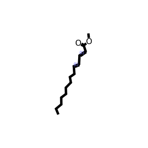 CCCCCCCCC/C=C/C=C/C(=O)OC